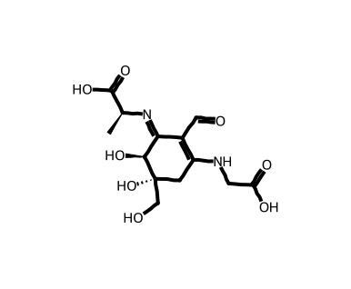 C[C@H](/N=C1/C(C=O)=C(NCC(=O)O)C[C@@](O)(CO)[C@H]1O)C(=O)O